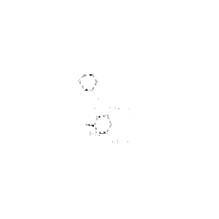 CCOC(=O)Oc1cc(C=O)[nH]c(=O)c1OCc1ccccc1